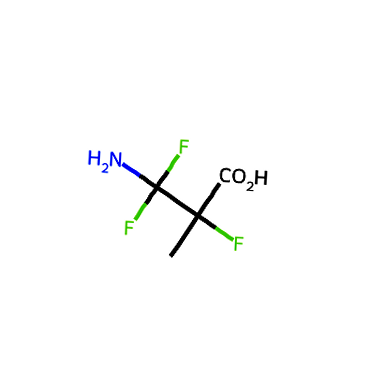 CC(F)(C(=O)O)C(N)(F)F